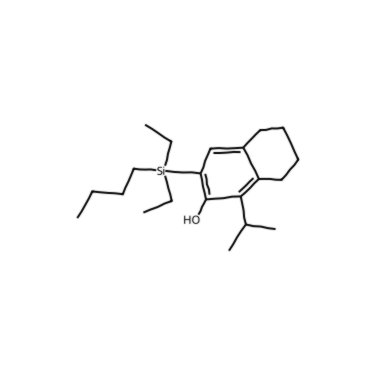 CCCC[Si](CC)(CC)c1cc2c(c(C(C)C)c1O)CCCC2